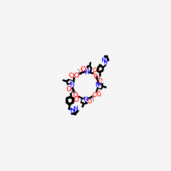 CC(C)CC1C(=O)O[C@H](Cc2cccc(Cn3cccn3)c2)C(=O)N(C)[C@@H](CC(C)C)C(=O)O[C@H](C)C(=O)N(C)[C@@H](CC(C)C)C(=O)O[C@H](Cc2ccc(Cn3cccn3)cc2)C(=O)N(C)[C@@H](CC(C)C)C(=O)O[C@H](C)C(=O)N1C